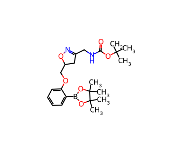 CC(C)(C)OC(=O)NCC1=NOC(COc2ccccc2B2OC(C)(C)C(C)(C)O2)C1